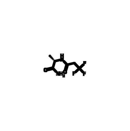 C[C@H](NC(=O)CC(F)(F)F)C(N)=O